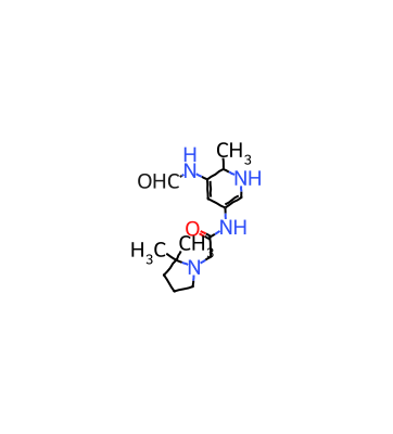 CC1NC=C(NC(=O)CN2CCCC2(C)C)C=C1NC=O